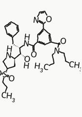 CCCN(CCC)C(=O)c1cc(C(=O)N[C@@H](Cc2ccccc2)[C@H](O)[C@H]2C[C@@H](S(=O)(=O)CCC)CN2)cc(-c2ncco2)c1